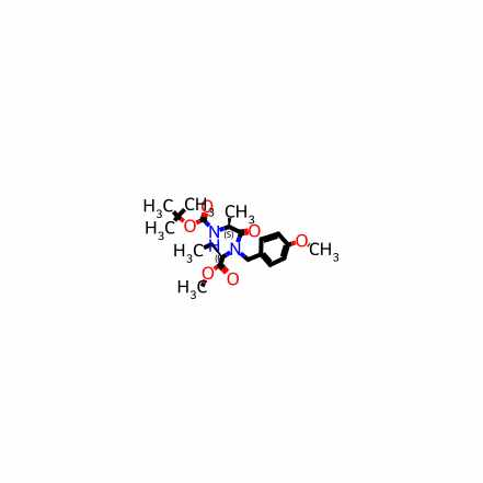 CC[C@H](C(=O)OC)N(Cc1ccc(OC)cc1)C(=O)[C@H](C)NC(=O)OC(C)(C)C